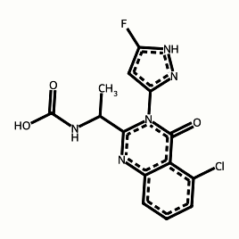 CC(NC(=O)O)c1nc2cccc(Cl)c2c(=O)n1-c1cc(F)[nH]n1